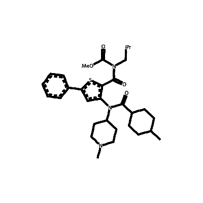 COC(=O)N(CC(C)C)C(=O)c1sc(-c2ccccc2)cc1N(C(=O)C1CCC(C)CC1)C1CCN(C)CC1